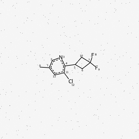 Cc1cnc(C2CC(F)(F)C2)c(Cl)c1